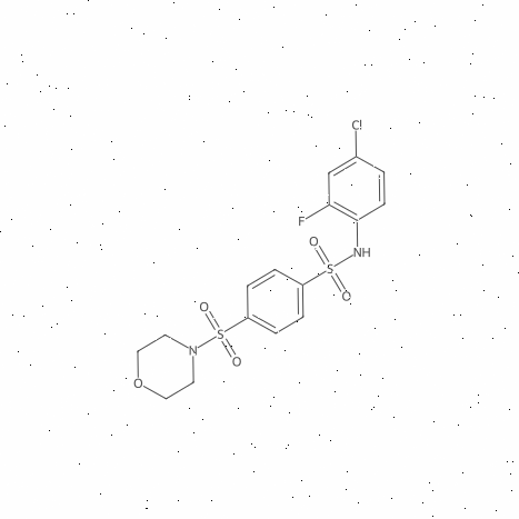 O=S(=O)(Nc1ccc(Cl)cc1F)c1ccc(S(=O)(=O)N2CCOCC2)cc1